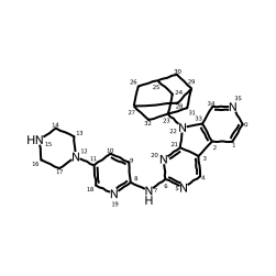 c1cc2c3cnc(Nc4ccc(N5CCNCC5)cn4)nc3n(C34CC5CC(CC(C5)C3)C4)c2cn1